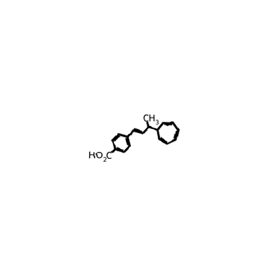 CC(/C=C/c1ccc(C(=O)O)cc1)C1C=CC=CC=C1